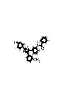 Cc1cccc(-c2nc(-c3ccc(F)cc3)sc2-c2ccnc(NC(=O)c3ccccc3)c2)c1